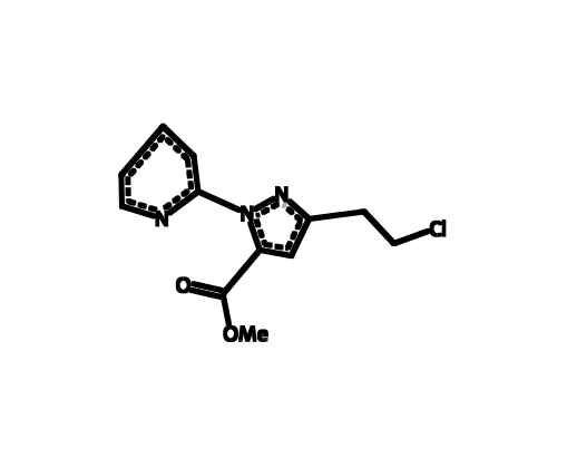 COC(=O)c1cc(CCCl)nn1-c1ccccn1